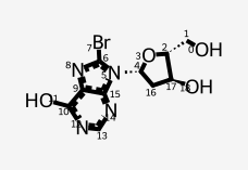 OC[C@H]1O[C@@H](n2c(Br)nc3c(O)ncnc32)C[C@@H]1O